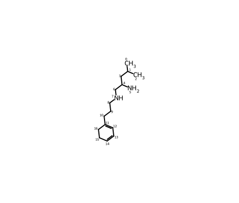 CC(C)CC(N)CNCCCC1=CC=CCC1